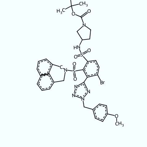 COc1ccc(Cn2nnc(-c3c(Br)ccc(S(=O)(=O)NC4CCN(C(=O)OC(C)(C)C)C4)c3S(=O)(=O)N(Cc3ccccc3)Cc3ccccc3)n2)cc1